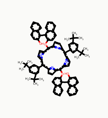 CC(C)(C)c1cc(-c2c3nc(c(Oc4ccc5ccccc5c4-c4c(O)ccc5ccccc45)c4ccc([nH]4)c(-c4cc(C(C)(C)C)cc(C(C)(C)C)c4)c4nc(c(Oc5ccc6ccccc6c5-c5c(O)ccc6ccccc56)c5ccc2[nH]5)C=C4)C=C3)cc(C(C)(C)C)c1